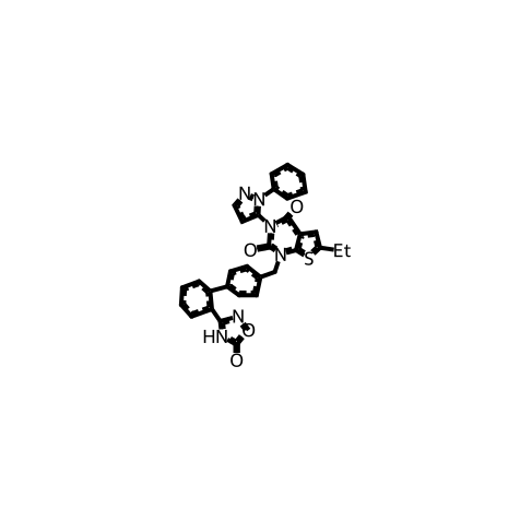 CCc1cc2c(=O)n(-c3ccnn3-c3ccccc3)c(=O)n(Cc3ccc(-c4ccccc4-c4noc(=O)[nH]4)cc3)c2s1